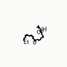 CC/C=C\C/C=C\C/C=C\CC1OC1C/C=C\C/C=C\CCC(=O)NC1CC1